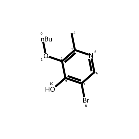 CCCCOc1c(C)ncc(Br)c1O